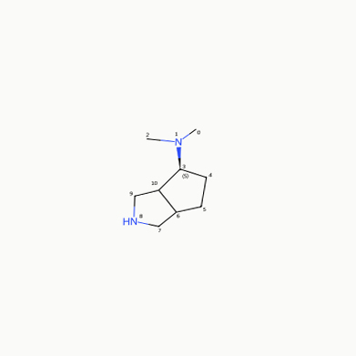 CN(C)[C@H]1CCC2CNCC21